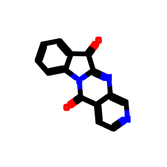 O=C1c2ccccc2-n2c1nc1cnccc1c2=O